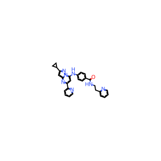 O=C(NCCc1ccccn1)c1ccc(Nc2cc(-c3ccccn3)nc3cc(C4CC4)nn23)cc1